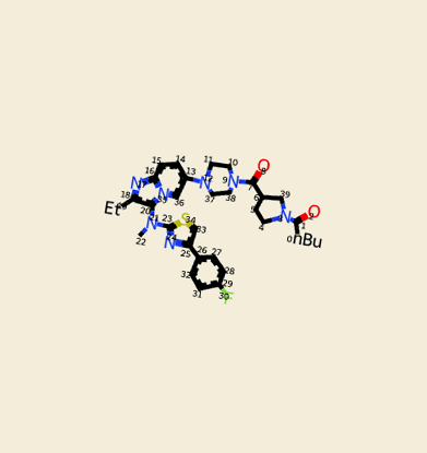 CCCCC(=O)N1CCC(C(=O)N2CCN(c3ccc4nc(CC)c(N(C)c5nc(-c6ccc(F)cc6)cs5)n4c3)CC2)C1